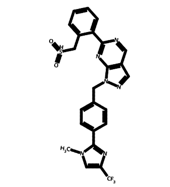 Cn1cc(C(F)(F)F)nc1-c1ccc(Cn2ncc3cnc(-c4ccccc4C[SH](=O)=O)nc32)cc1